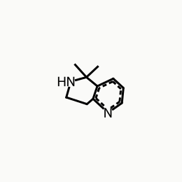 CC1(C)NCCc2ncccc21